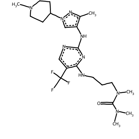 Cc1nn(C2CCN(C)CC2)cc1Nc1ncc(C(F)(F)F)c(NCCCN(C)C(=O)N(C)C)n1